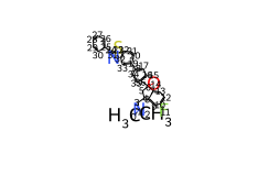 CN(C)CCCC1(c2ccc(F)cc2)OCc2cc(-c3ccc4sc(-c5ccccc5)nc4c3)ccc21